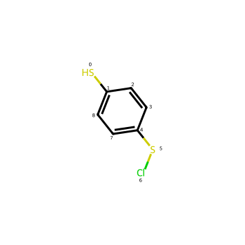 Sc1ccc(SCl)cc1